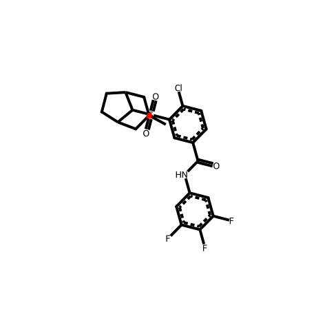 CC1CC2CCC(C1)C2S(=O)(=O)c1cc(C(=O)Nc2cc(F)c(F)c(F)c2)ccc1Cl